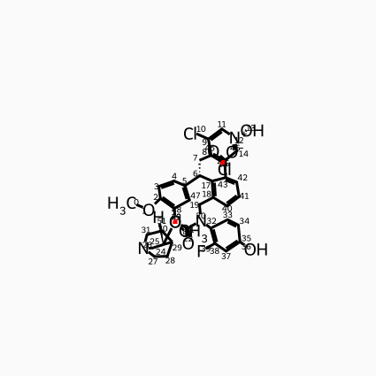 COc1ccc([C@H](Cc2c(Cl)c[n+](O)cc2Cl)c2c(CN(C(=O)O[C@H]3CN4CCC3CC4)c3ccc(O)cc3F)cccc2C(=O)[O-])cc1OC